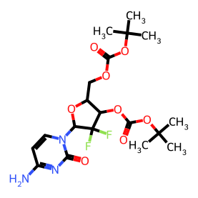 CC(C)(C)OC(=O)OCC1OC(n2ccc(N)nc2=O)C(F)(F)C1OC(=O)OC(C)(C)C